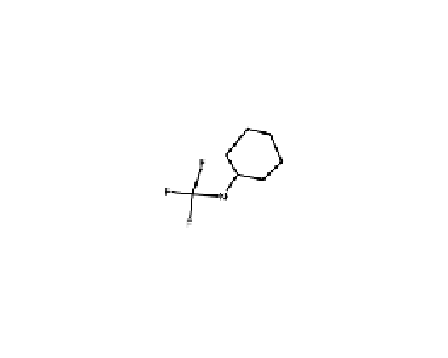 FC(F)(F)[N]C1CCCCC1